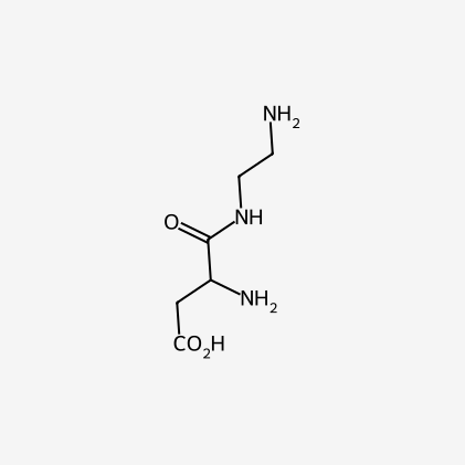 NCCNC(=O)C(N)CC(=O)O